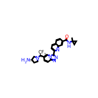 CC1(NC(=O)c2ccc3ccc(-c4nnc5ccc([C@@H](N6CC[C@H](N)C6)C(F)(F)F)cn45)nc3c2)CC1